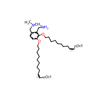 CCCCCCCC/C=C\CCCCCCCCOc1ccc(CN(C)C)c(CN)c1OCCCCCCCC/C=C\CCCCCCCC